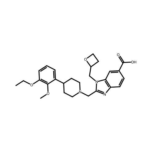 CCOc1cccc(C2CCN(Cc3nc4ccc(C(=O)O)cc4n3CC3CCO3)CC2)c1OC